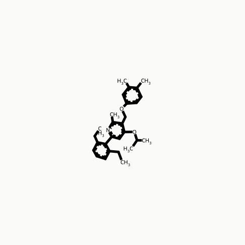 CCc1cccc(CC)c1-c1cc(OC(C)C)c(COc2ccc(C)c(C)c2)c(C)n1